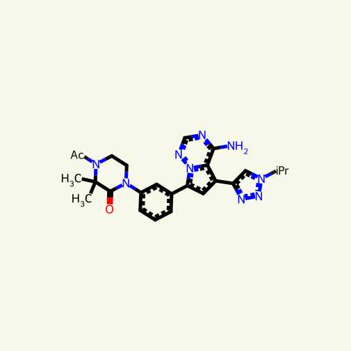 CC(=O)N1CCN(c2cccc(-c3cc(-c4cn(C(C)C)nn4)c4c(N)ncnn34)c2)C(=O)C1(C)C